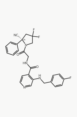 N#C[C@]1(c2ccccc2)CC(F)(F)CN1C(=O)CNC(=O)c1ccncc1NCc1ccc(F)cc1